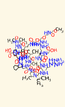 CC[C@H](C)[C@H](NC(=O)C(Cc1ccccc1)NC(=O)C(CCC(=O)O)NC(=O)C(CCCCNC(=O)COCCOCCNC(=O)COC)NC(=O)C(C)NC(C)=O)C(=O)N[C@@H](C)C(=O)NC(Cc1c[nH]c2ccccc12)C(=O)N[C@H]1CC(C)CN([C@H](C(=O)N[C@@H](CCCNC(=N)N)C(=O)NCC(=O)N[C@@H](CCCNC(=N)N)C(=O)NCC(=O)O)C(C)C)C1=O